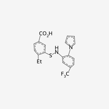 CCc1ccc(C(=O)O)cc1SNc1cc(C(F)(F)F)ccc1-n1cccc1